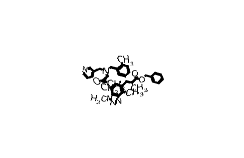 Cc1ccc([C@@H](c2ccc3c(nnn3C)c2C)[C@@H](C)C(=O)OCc2ccccc2)cc1CN1Cc2cnccc2OC(C)(C)C1